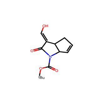 CC(C)(C)OC(=O)N1C(=O)C(=CO)C2CC=CC21